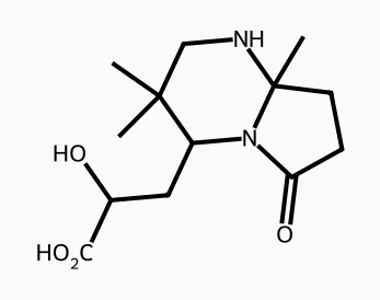 CC1(C)CNC2(C)CCC(=O)N2C1CC(O)C(=O)O